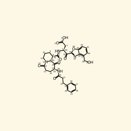 O=C(O)C[C@H](NC(=O)[C@@H]1CCCN2C(=O)CC[C@H](NC(=O)CCc3ccccc3)C(=O)N12)C(=O)c1nc2c(CO)cccc2o1